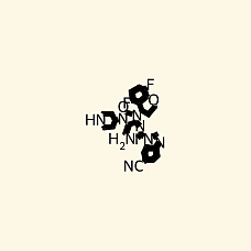 N#Cc1ccc2ncn(C(I)/N=C3\C(=C/N)N(C4CCNCC4)C(=O)N3[C@@H]3CCOc4c(F)ccc(F)c43)c2c1